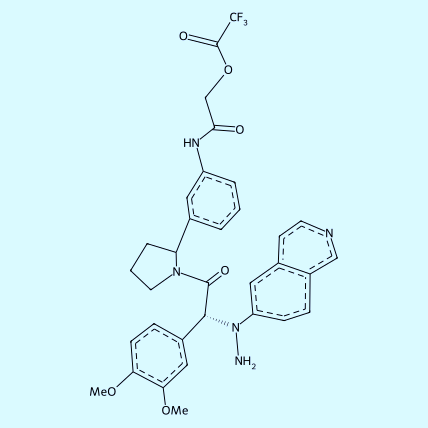 COc1ccc([C@H](C(=O)N2CCCC2c2cccc(NC(=O)COC(=O)C(F)(F)F)c2)N(N)c2ccc3cnccc3c2)cc1OC